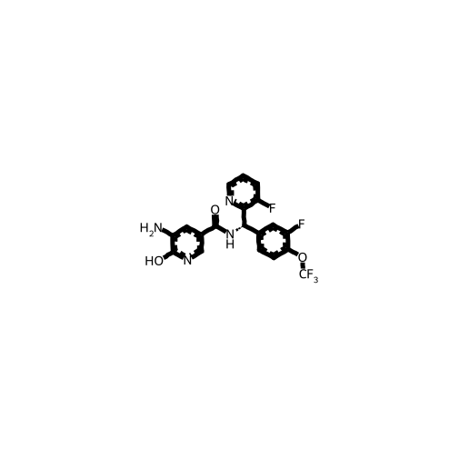 Nc1cc(C(=O)N[C@@H](c2ccc(OC(F)(F)F)c(F)c2)c2ncccc2F)cnc1O